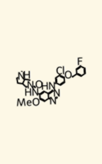 COc1cc2ncnc(Nc3ccc(OCc4cccc(F)c4)c(Cl)c3)c2cc1NC(=O)N1CC2CCN(C)[C@H]2C1